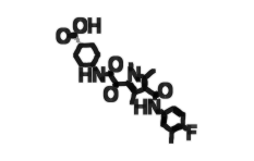 Cc1cc(NC(=O)c2c(C)c(C(=O)C(=O)N[C@H]3CC[C@@H](C(=O)O)CC3)n(C)c2C)ccc1F